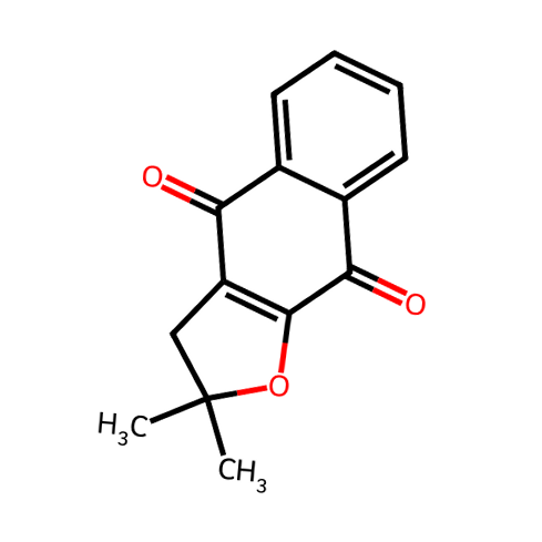 CC1(C)CC2=C(O1)C(=O)c1ccccc1C2=O